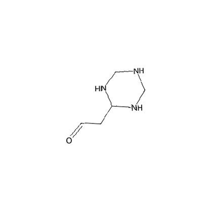 O=CCC1NCNCN1